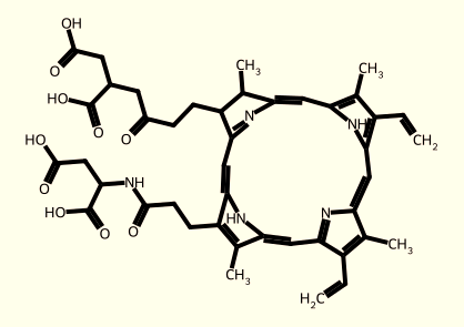 C=CC1=C(C)c2cc3[nH]c(cc4nc(cc5[nH]c(cc1n2)c(C)c5CCC(=O)NC(CC(=O)O)C(=O)O)C(CCC(=O)CC(CC(=O)O)C(=O)O)C4C)c(C)c3C=C